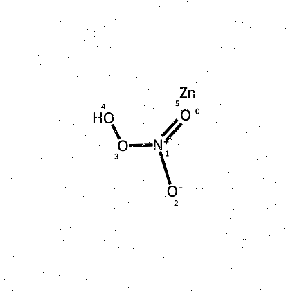 O=[N+]([O-])OO.[Zn]